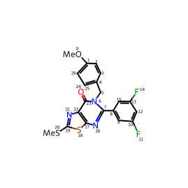 COc1ccc(Cn2c(-c3cc(F)cc(F)c3)nc3sc(SC)nc3c2=O)cc1